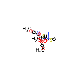 C=C(C1=C(C(=O)OCc2ccc(OC)cc2)N2C(=O)[C@@H](NC(=O)CSc3ccccc3)[C@H]2SC1)c1cc(-c2ccc(OCC)cc2)no1